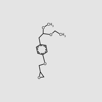 CCOC(Cc1ccc(OCC2CO2)cc1)OC